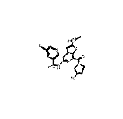 CNc1cc2nc(N[C@@H](C)c3cncc(F)c3)nc(C(=O)N3CC[C@@H](O)C3)c2s1